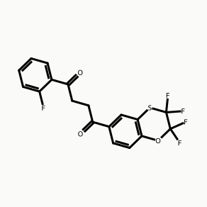 O=C(CCC(=O)c1ccccc1F)c1ccc2c(c1)SC(F)(F)C(F)(F)O2